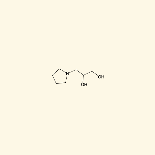 OCC(O)CN1C[CH][CH]C1